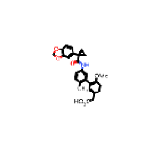 COc1ccc(CC(=O)O)cc1-c1cc(NC(=O)C2(c3ccc4c(c3)OCO4)CC2)ccc1C